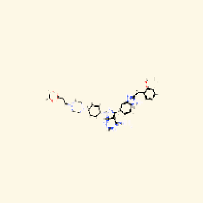 COc1ccccc1Cc1nc2cc(-c3nn([C@H]4CC[C@@H](N5CCN(CCC6OCCO6)CC5)CC4)c4ncnc(N)c34)ccc2[nH]1